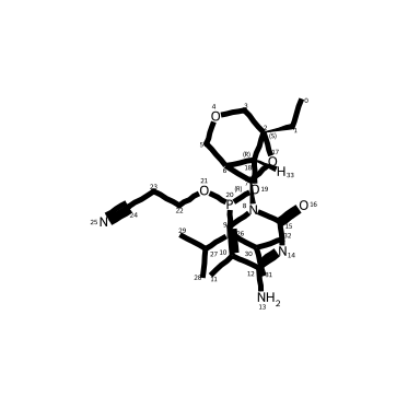 CC[C@@]12COCC([C@H](n3cc(C)c(N)nc3=O)O1)[C@H]2OP(OCCC#N)N(C(C)C)C(C)C